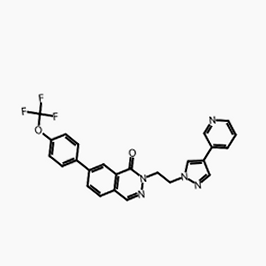 O=c1c2cc(-c3ccc(OC(F)(F)F)cc3)ccc2cnn1CCn1cc(-c2cccnc2)cn1